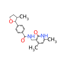 Cc1cc(C)c(CNC(=O)c2ccc(C3OCCC3C)cc2)c(=O)[nH]1